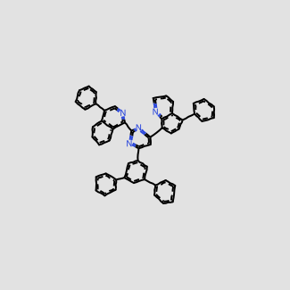 c1ccc(-c2cc(-c3ccccc3)cc(-c3cc(-c4ccc(-c5ccccc5)c5cccnc45)nc(-c4ncc(-c5ccccc5)c5ccccc45)n3)c2)cc1